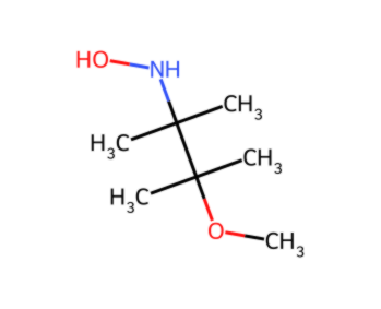 COC(C)(C)C(C)(C)NO